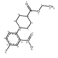 CCOC(=O)C1CCN(c2ccc(F)cc2[N+](=O)[O-])CC1